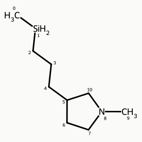 C[SiH2]CCCC1CCN(C)C1